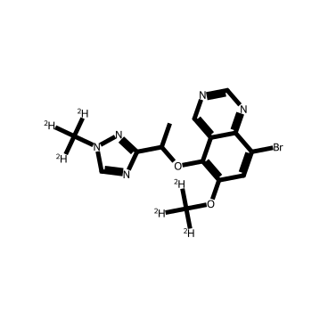 [2H]C([2H])([2H])Oc1cc(Br)c2ncncc2c1OC(C)c1ncn(C([2H])([2H])[2H])n1